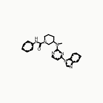 CN(c1nccc(-n2cnc3ccccc32)n1)C1CCCN(C(=O)Nc2ccccc2)C1